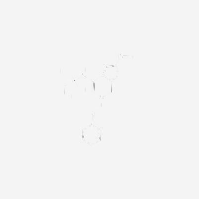 CC(C)Nc1nc2c(s1)CN(SCc1ccccc1)C=C2NC(C)(C)CO